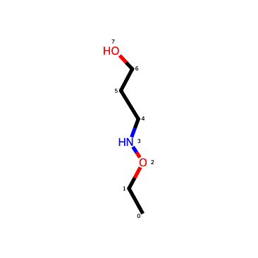 CCONCCCO